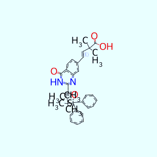 C[C@@H](O[Si](c1ccccc1)(c1ccccc1)C(C)(C)C)c1nc2cc(/C=C/C(C)(C)C(=O)O)ccc2c(=O)[nH]1